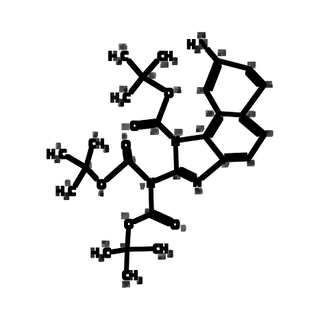 CC(C)(C)OC(=O)N(C(=O)OC(C)(C)C)c1nc2ccc3ccc(N)cc3c2n1C(=O)OC(C)(C)C